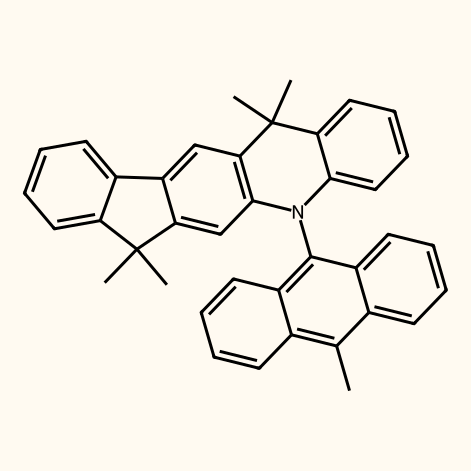 Cc1c2ccccc2c(N2c3ccccc3C(C)(C)c3cc4c(cc32)C(C)(C)c2ccccc2-4)c2ccccc12